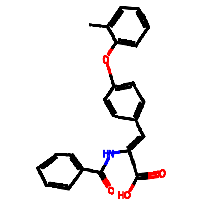 Cc1ccccc1Oc1ccc(/C=C(\NC(=O)c2ccccc2)C(=O)O)cc1